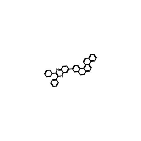 C1=CCC(c2nc3ccc(-c4ccc5c(ccc6ccc7c8ccccc8ccc7c65)c4)cc3nc2-c2ccccc2)C=C1